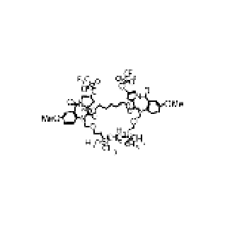 COc1ccc2c(c1)C(=O)N1C=C(OS(=O)(=O)C(F)(F)F)CC1(OCCCCCO[C@]13CC(OS(=O)(=O)C(F)(F)F)=CN1C(=O)c1cc(OC)ccc1N(COCC[Si](C)(C)C)C3=O)C(=O)N2COCC[Si](C)(C)C